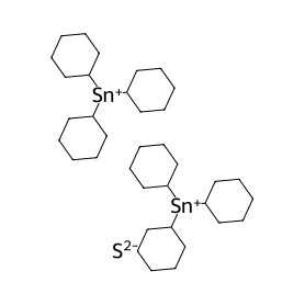 C1CC[CH]([Sn+]([CH]2CCCCC2)[CH]2CCCCC2)CC1.C1CC[CH]([Sn+]([CH]2CCCCC2)[CH]2CCCCC2)CC1.[S-2]